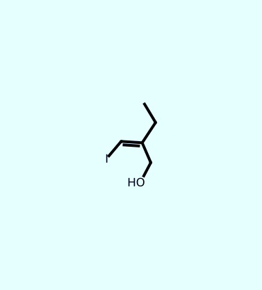 CCC(=CI)CO